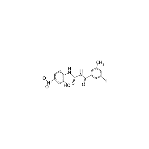 Cc1cc(I)cc(C(=O)NC(=S)Nc2ccc([N+](=O)[O-])cc2O)c1